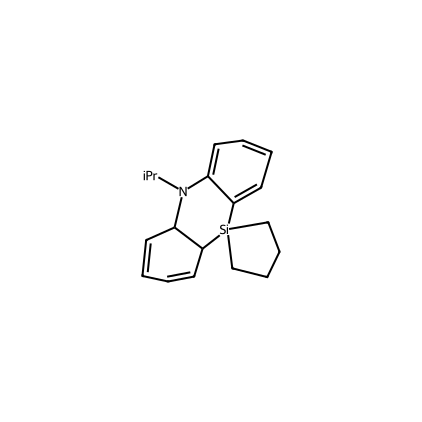 CC(C)N1c2ccccc2[Si]2(CCCC2)C2C=CC=CC21